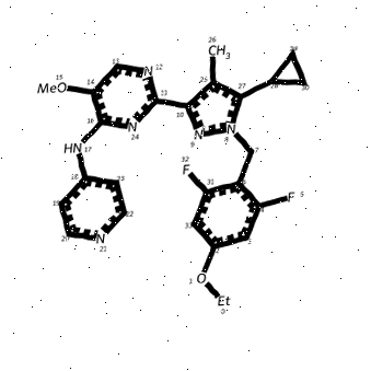 CCOc1cc(F)c(Cn2nc(-c3ncc(OC)c(Nc4ccncc4)n3)c(C)c2C2CC2)c(F)c1